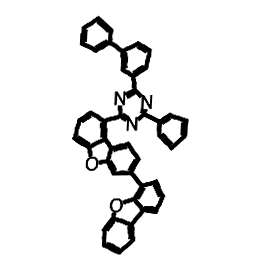 c1ccc(-c2cccc(-c3nc(-c4ccccc4)nc(-c4cccc5oc6cc(-c7cccc8c7oc7ccccc78)ccc6c45)n3)c2)cc1